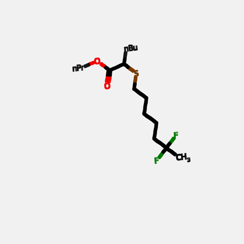 CCCCC(SCCCCCC(C)(F)F)C(=O)OCCC